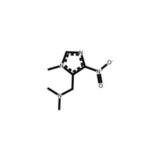 CN(C)Cc1c([N+](=O)[O-])ncn1C